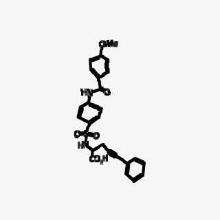 COc1ccc(C(=O)Nc2ccc(S(=O)(=O)NC(CC#Cc3ccccc3)C(=O)O)cc2)cc1